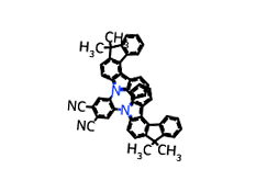 CC1(C)c2ccccc2-c2c1ccc1c2c2ccccc2n1-c1cc(C#N)c(C#N)cc1-n1c2ccccc2c2c3c(ccc21)C(C)(C)c1ccccc1-3